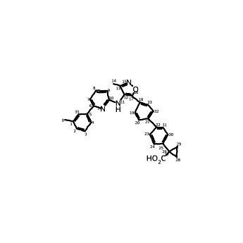 Cc1cccc(-c2cccc(Nc3c(C)noc3-c3ccc(-c4ccc(C5(C(=O)O)CC5)cc4)cc3)n2)c1